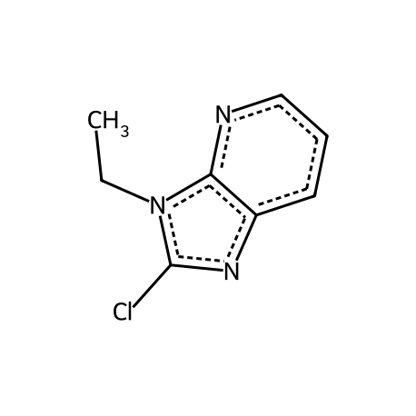 CCn1c(Cl)nc2cccnc21